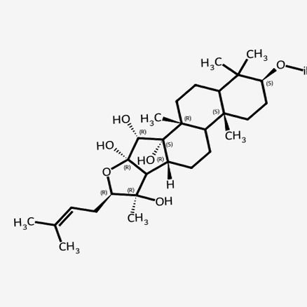 CC(C)=CC[C@H]1O[C@]2(O)C([C@H]3CCC4[C@@]5(C)CC[C@H](OC(C)C)C(C)(C)C5CC[C@@]4(C)[C@]3(O)[C@H]2O)[C@@]1(C)O